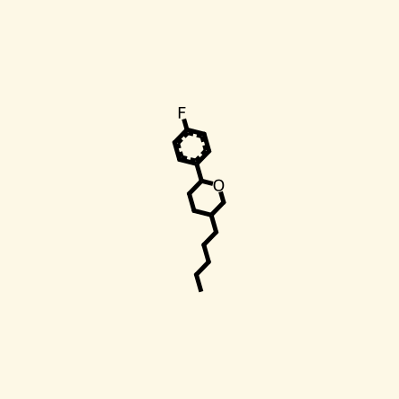 CCCCCC1CCC(c2ccc(F)cc2)OC1